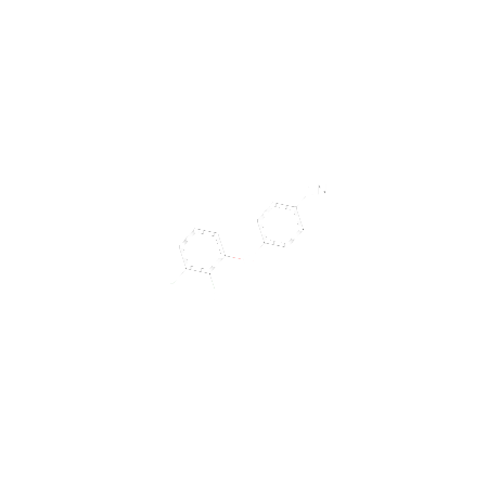 N#Cc1c[c]c(Oc2cccc(Cl)c2Cl)cc1